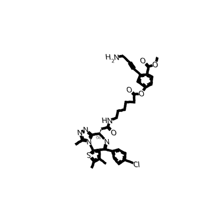 COC(=O)c1ccc(OC(=O)CCCCCNC(=O)C[C@@H]2N=C(c3ccc(Cl)cc3)c3c(sc(C)c3C)-n3c(C)nnc32)cc1C#CCN